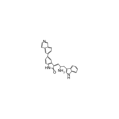 NC(C=C1C(=O)Nc2ccc(-c3ccc4cnccc4c3)cc21)Cc1c[nH]c2ccccc12